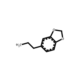 [CH2]CCc1ccc2c(c1)OCO2